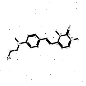 CN(CCC#N)c1ccc(/C=C/c2cc[n+](C)c(=O)n2C)cc1